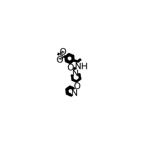 CC(NC(=O)N1CCC(Oc2ccccn2)CC1)c1ccc(S(C)(=O)=O)cc1